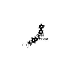 CCCCCN(C(=O)Nc1ccc(-c2ccccc2)cc1)C1Cc2ccc(SC(C)(C)C(=O)O)cc2C1